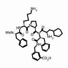 CN[C@@H](Cc1ccccc1)C(=O)N[C@@H](CCCCN)C(=O)N1CCC[C@H]1C(=O)N(C(=O)[C@H](N)CC1CCCCC1)[C@@H](Cc1ccccc1)C(=O)NCc1cccc(C(=O)O)c1